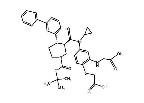 CC(C)(C)OC(=O)N1CC[C@H](c2cccc(-c3ccccc3)c2)[C@@H](C(=O)N(c2ccc(SCC(=O)O)c(NCC(=O)O)c2)C2CC2)C1